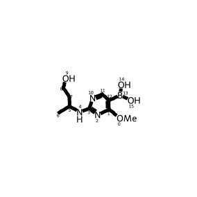 COc1nc(NC(C)CCO)ncc1B(O)O